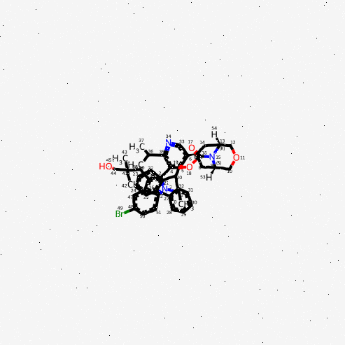 CCn1c(-c2cc([C@@H]3C[C@H]4COC[C@@H](C3)N4C(=O)OCC3c4ccccc4-c4ccccc43)cnc2C(C)C)c(CC(C)(C)CO)c2cc(Br)ccc21